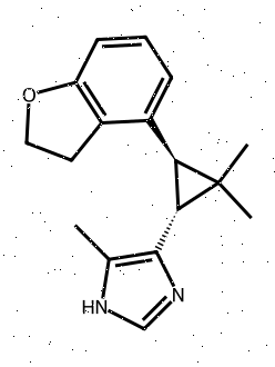 Cc1[nH]cnc1[C@@H]1[C@@H](c2cccc3c2CCO3)C1(C)C